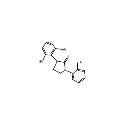 Cc1ccccc1N1CCN(c2c(C(C)C)cccc2C(C)C)C1=S